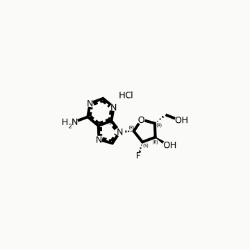 Cl.Nc1ncnc2c1ncn2[C@@H]1O[C@H](CO)[C@@H](O)[C@@H]1F